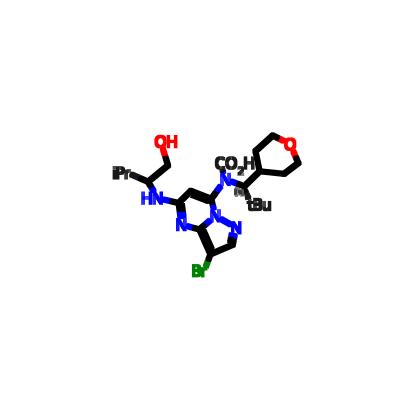 CC(C)C(CO)Nc1cc(N(C(=O)O)[C@@H](C2CCOCC2)C(C)(C)C)n2ncc(Br)c2n1